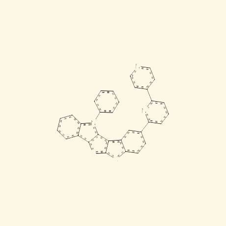 c1ccc(-n2c3ccccc3c3sc4sc5ccc(-c6cccc(-c7ccncc7)n6)cc5c4c32)cc1